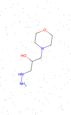 NNCC(O)CN1CCOCC1